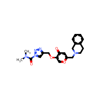 CN(C)C(=O)n1cc(COc2coc(CN3CCc4ccccc4C3)cc2=O)nn1